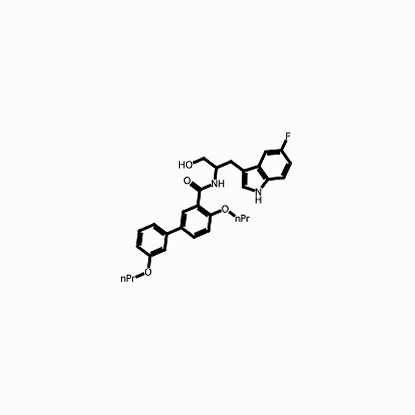 CCCOc1cccc(-c2ccc(OCCC)c(C(=O)NC(CO)Cc3c[nH]c4ccc(F)cc34)c2)c1